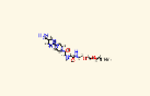 CN(CC(=O)NCCOCCOCCC=O)CC(=O)N1CCN(c2ncc(CN)cn2)CC1